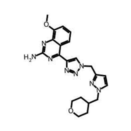 COc1cccc2c(-c3cn(Cc4ccn(CC5CCOCC5)n4)nn3)nc(N)nc12